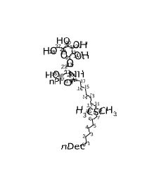 CCCCCCCCCCCCCCCCCS(C)(C)CCCCCCCC(=O)N[C@@H](COC1OC(CO)C(O)C(O)C1O)[C@H](O)CCC